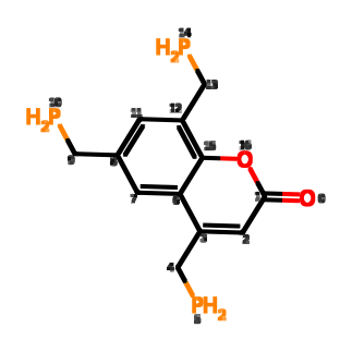 O=c1cc(CP)c2cc(CP)cc(CP)c2o1